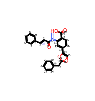 O=C(/C=C/c1ccccc1)Nc1cc(C2=COC(Cc3ccccc3)O2)ccc1C(=O)O